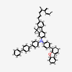 C=C(/C=C\C)/C(C)=C\C=C\c1ccc2c(c1)C(C)(C)c1cc(N(c3ccc(C4=c5oc6ccccc6c5=CCC4)cc3)c3ccc(-c4ccc(-c5ccccc5)cc4)cc3)ccc1-2